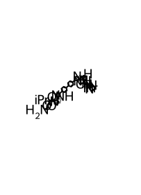 CC(C)[C@H](C(=O)OCN)C(=O)N1CCC[C@H]1c1ncc(-c2ccc(-c3ccc(-c4cnc([C@@H]5CCCN5C(=O)[C@@H](Nc5ncccn5)C(C)C)[nH]4)cc3)cc2)[nH]1